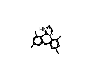 Cc1cc(C)c(-c2[nH]cc[n+]2-c2c(C)cc(C)cc2C)c(C)c1